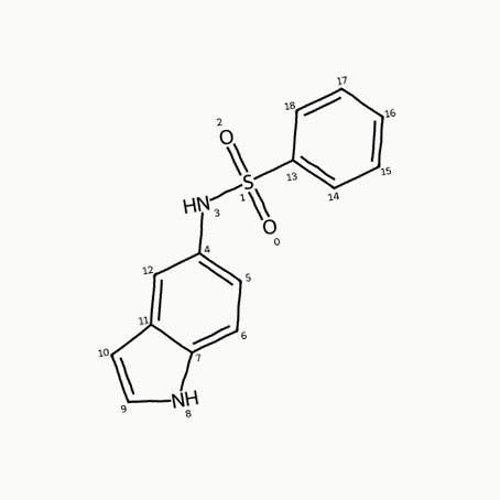 O=S(=O)(Nc1ccc2[nH]ccc2c1)c1ccccc1